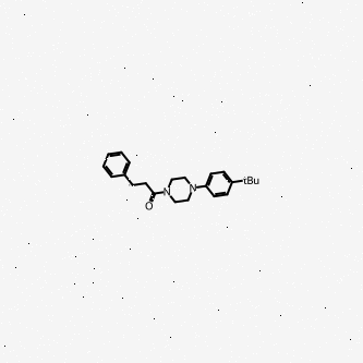 CC(C)(C)c1ccc(N2CCN(C(=O)C[CH]c3ccccc3)CC2)cc1